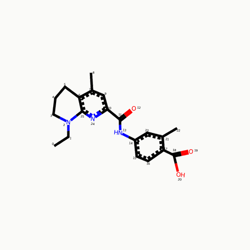 CCN1CCCc2c(C)cc(C(=O)Nc3ccc(C(=O)O)c(C)c3)nc21